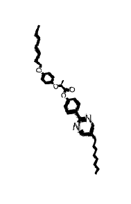 CCCCCCCCc1cnc(-c2ccc(OC(=O)[C@H](C)Oc3ccc(OCCCCCCC)cc3)cc2)nc1